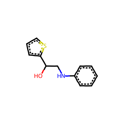 OC(CNc1ccccc1)c1cccs1